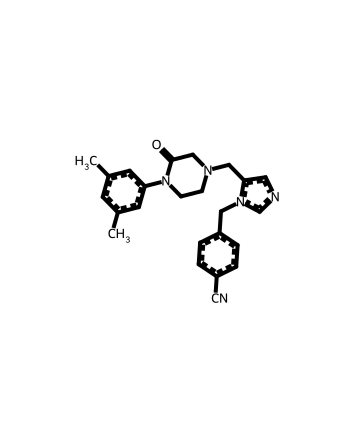 Cc1cc(C)cc(N2CCN(Cc3cncn3Cc3ccc(C#N)cc3)CC2=O)c1